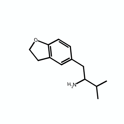 CC(C)C(N)Cc1ccc2c(c1)CCO2